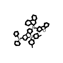 Cc1ccc([Si]2(c3ccc(C)cc3)C3=CC=C(N(c4ccccc4)c4ccccc4)CC3c3ccc(N(c4ccc5oc6ccccc6c5c4)c4cc5ccccc5c5ccccc45)cc32)cc1